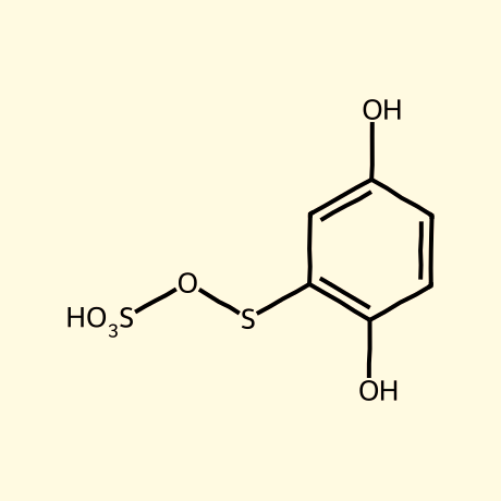 O=S(=O)(O)OSc1cc(O)ccc1O